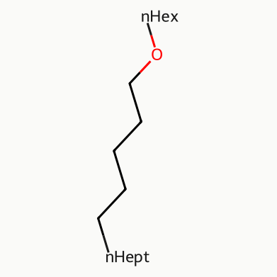 [CH2]CCCCCCCCCCCOCCCCCC